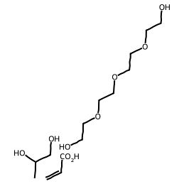 C=CC(=O)O.CC(O)CO.OCCOCCOCCOCCO